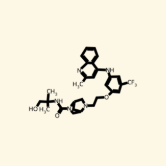 Cc1cc(Nc2cc(OCCN3CC4CC3CN4C(=O)NC(C)(C)CO)cc(C(F)(F)F)c2)c2ccccc2n1